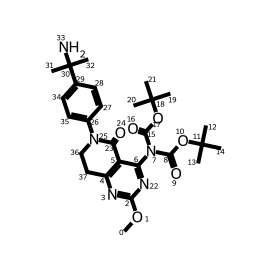 COc1nc2c(c(N(C(=O)OC(C)(C)C)C(=O)OC(C)(C)C)n1)C(=O)N(c1ccc(C(C)(C)N)cc1)CC2